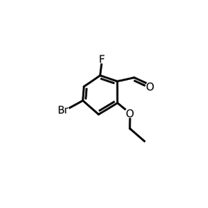 CCOc1cc(Br)cc(F)c1C=O